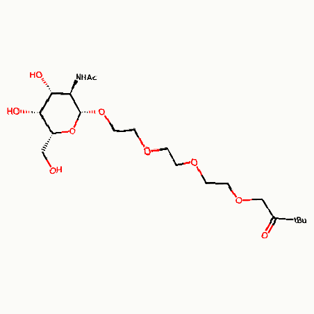 CC(=O)N[C@H]1[C@H](OCCOCCOCCOCC(=O)C(C)(C)C)O[C@H](CO)[C@H](O)[C@@H]1O